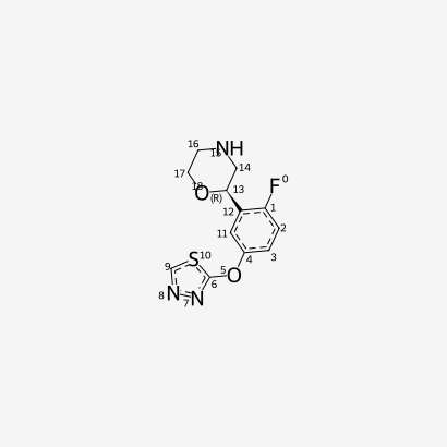 Fc1ccc(Oc2nncs2)cc1[C@@H]1CNCCO1